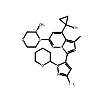 Cc1cc(-c2nc(I)c3c(C4(C#N)CC4)cc(N4CCOC[C@H]4C)nn23)n(C2CCCCO2)n1